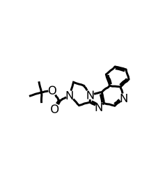 CC(C)(C)OC(=O)N1CCn2c(nc3cnc4ccccc4c32)C1